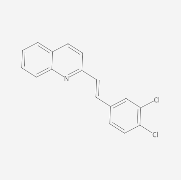 Clc1ccc(C=Cc2ccc3ccccc3n2)cc1Cl